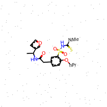 CCCOc1ccc(CC(=O)NC(C)c2ccoc2)cc1S(=O)(=O)NC(=S)NC